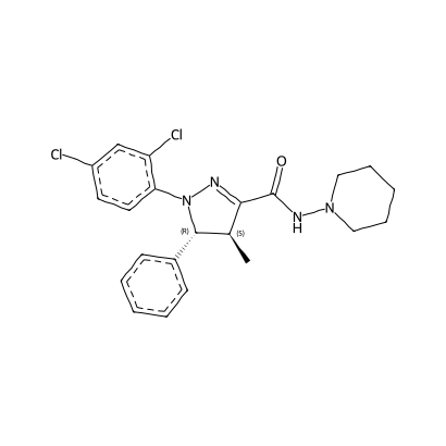 C[C@@H]1C(C(=O)NN2CCCCC2)=NN(c2ccc(Cl)cc2Cl)[C@H]1c1ccccc1